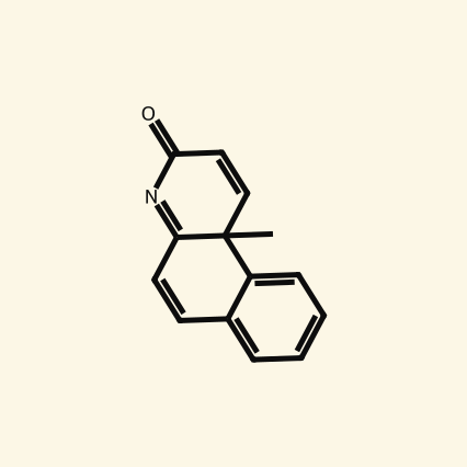 CC12C=CC(=O)N=C1C=Cc1ccccc12